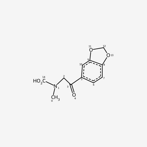 CN(CC(=O)c1ccc2c(c1)OCO2)C(=O)O